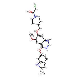 COc1cc2c(Oc3ccc4cc(C)[nH]c4c3)ncnc2cc1OCC1CCN(C(=O)CCl)CC1